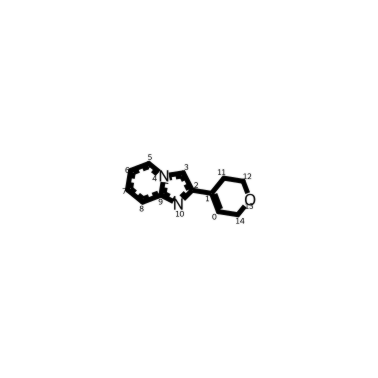 C1=C(c2cn3ccccc3n2)CCOC1